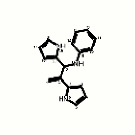 C=C(c1ccc[nH]1)C(Nc1ccccc1)c1ccc[nH]1